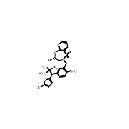 CC[C@@H]1CN(Cc2cc(C(c3ccc(C(C)=O)s3)C(C)(C)C(=O)O)ccc2C)S(=O)(=O)c2cccnc2O1